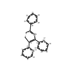 C/C(=N\C(=C(/C)c1ccccn1)c1ccccn1)c1ccccc1